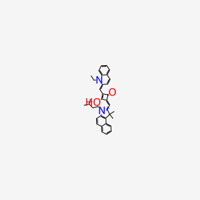 CCN1/C(=C/C2=C(O)C(=C\C3=[N+](CCC(C)C)c4ccc5ccccc5c4C3(C)C)/C2=O)C=Cc2ccccc21